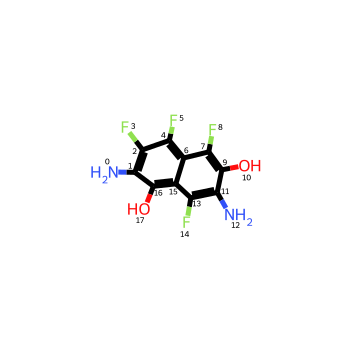 Nc1c(F)c(F)c2c(F)c(O)c(N)c(F)c2c1O